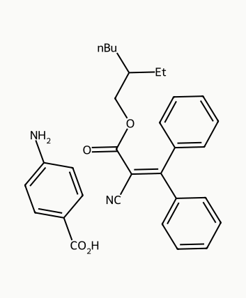 CCCCC(CC)COC(=O)C(C#N)=C(c1ccccc1)c1ccccc1.Nc1ccc(C(=O)O)cc1